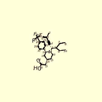 C=C(C)C#C[C@H](C(CC)CC)N1CC[C@@H](CC(=O)O)C[C@H]1c1ccc(C(F)(F)F)cc1